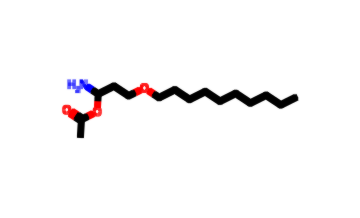 CCCCCCCCCCOCCC(N)OC(C)=O